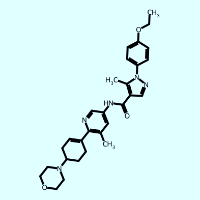 CCOc1ccc(-n2ncc(C(=O)Nc3cnc(C4=CCC(N5CCOCC5)CC4)c(C)c3)c2C)cc1